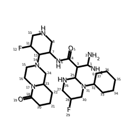 NC(N)C(C(=O)NC1CNCC(F)C1N1CCN2C(=O)CCCC2C1)C1NCC(F)CN1C1CCCCC1